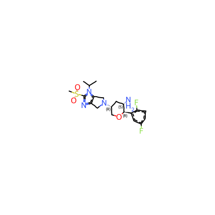 CC(C)n1c(S(C)(=O)=O)nc2c1CN([C@H]1CO[C@H](c3cc(F)ccc3F)[C@@H](N)C1)C2